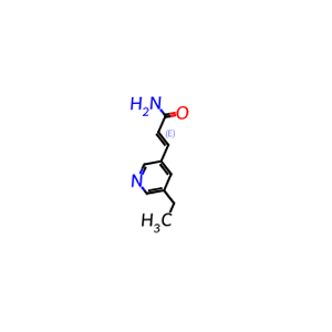 CCc1cncc(/C=C/C(N)=O)c1